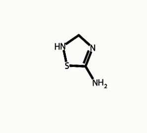 NC1=NCNS1